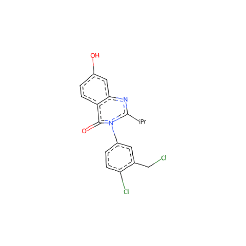 CC(C)c1nc2cc(O)ccc2c(=O)n1-c1ccc(Cl)c(CCl)c1